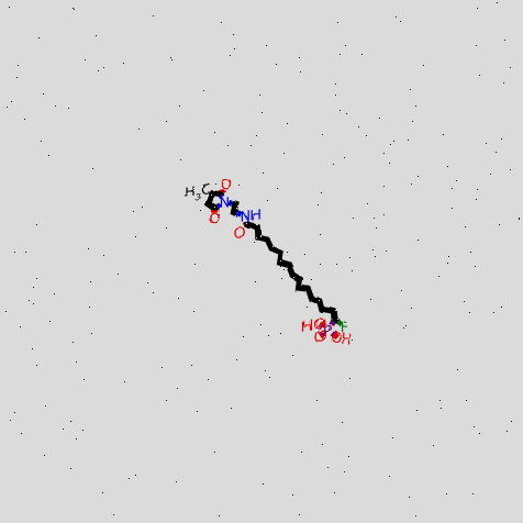 CC1CC(=O)N(CCNC(=O)CCCCCCCCCCCCCCCC(F)P(=O)(O)O)C1=O